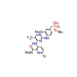 CCC(C)OP(=O)(O)Cc1ccc(Nc2ncc(C(F)(F)F)c(Nc3ccc(Br)nc3C(=O)NC)n2)c(OC)c1